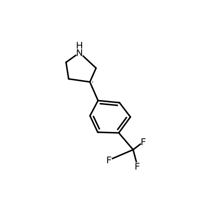 FC(F)(F)c1ccc([C]2CCNC2)cc1